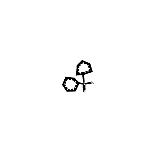 CCP(=O)(c1ccccc1)c1ccccc1